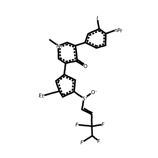 CCCc1ccc(-c2cn(C)cc(-c3cc(CC)cc([S+]([O-])/C=C/C(F)(F)C(F)F)c3)c2=O)cc1I